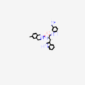 Cc1ccc2c(c1)CCN(C(=O)N[C@@H](C(=O)Nc1cccc(CN(C)C)c1)[C@H](C)c1c[nH]c3ccccc13)C2